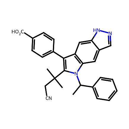 CC(c1ccccc1)n1c(C(C)(C)CC#N)c(-c2ccc(C(=O)O)cc2)c2cc3[nH]ncc3cc21